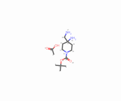 CC(=O)O.CC(C)(C)OC(=O)N1CCC(N)(CN)CC1